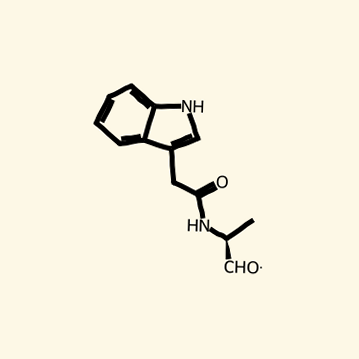 C[C@@H]([C]=O)NC(=O)Cc1c[nH]c2ccccc12